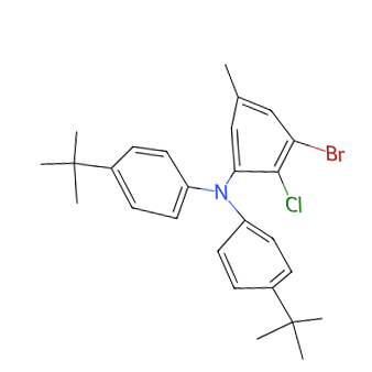 Cc1cc(Br)c(Cl)c(N(c2ccc(C(C)(C)C)cc2)c2ccc(C(C)(C)C)cc2)c1